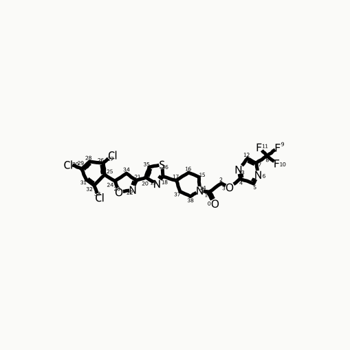 O=C(COc1cnc(C(F)(F)F)cn1)N1CCC(c2nc(C3=NOC(c4c(Cl)cc(Cl)cc4Cl)C3)cs2)CC1